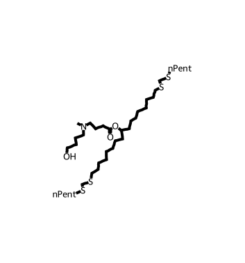 CCCCCSCSCCCCCCCCC(CCCCCCCCSCSCCCCC)OC(=O)CCCN(C)CCCCO